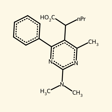 CCCC(C(=O)O)c1c(C)nc(N(C)C)nc1-c1ccccc1